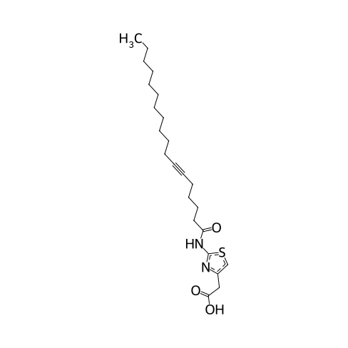 CCCCCCCCCCCC#CCCCCC(=O)Nc1nc(CC(=O)O)cs1